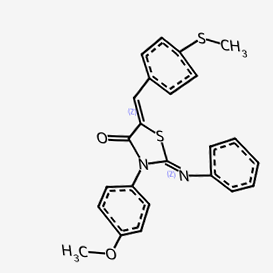 COc1ccc(N2C(=O)/C(=C/c3ccc(SC)cc3)S/C2=N\c2ccccc2)cc1